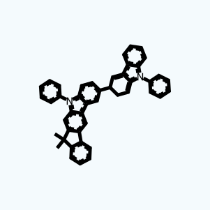 CC1(C)c2ccccc2-c2cc3c4cc(C5C=c6c(n(-c7ccccc7)c7ccccc67)=CC5)ccc4n(-c4ccccc4)c3cc21